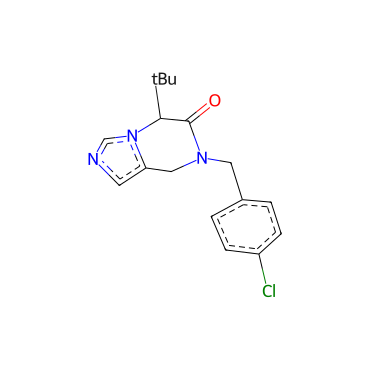 CC(C)(C)C1C(=O)N(Cc2ccc(Cl)cc2)Cc2cncn21